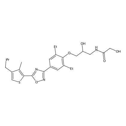 CCc1cc(-c2noc(-c3scc(CC(C)C)c3C)n2)cc(CC)c1OCC(O)CNC(=O)CO